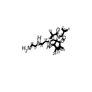 C=C(C)C(=O)N(C(=O)C(=C)C)C(CNCCNCCN)(C(=O)C(=C)C)C(=O)C(=C)C